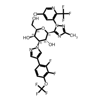 Cc1nc([C@@H]2O[C@H](CO)[C@H](O)[C@H](n3cc(-c4ccc(OC(F)(F)F)c(F)c4F)cn3)[C@H]2O)n(-c2cc(Cl)cnc2C(F)(F)F)n1